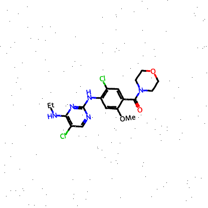 CCNc1nc(Nc2cc(OC)c(C(=O)N3CCOCC3)cc2Cl)ncc1Cl